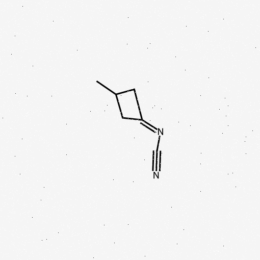 CC1CC(=NC#N)C1